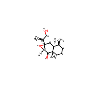 C=C1CCC[C@]2(C)C(=O)[C@@H]3O[C@]3(C(=C)CO)C[C@@H]12